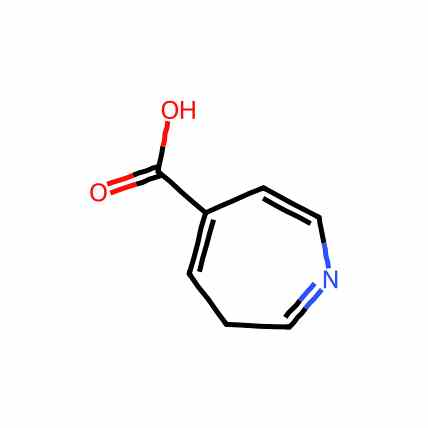 O=C(O)C1=CCC=NC=C1